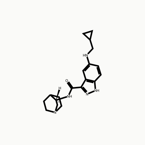 O=C(N[C@@H]1CN2CCC1CC2)c1n[nH]c2ccc(NCC3CC3)cc12